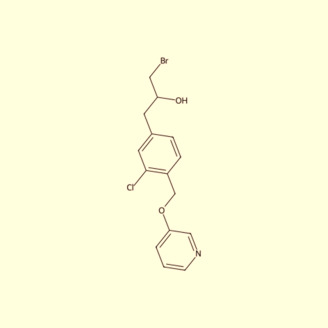 OC(CBr)Cc1ccc(COc2cccnc2)c(Cl)c1